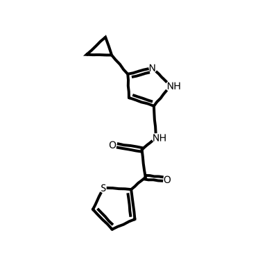 O=C(Nc1cc(C2CC2)n[nH]1)C(=O)c1cccs1